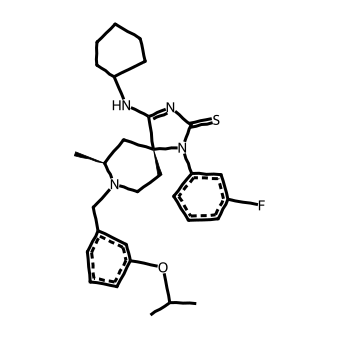 CC(C)Oc1cccc(CN2CC[C@@]3(C[C@@H]2C)C(NC2CCCCC2)=NC(=S)N3c2cccc(F)c2)c1